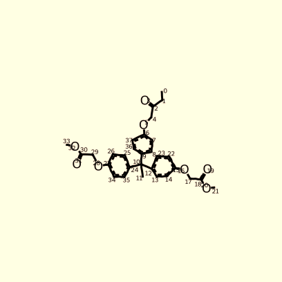 CCC(=O)COc1ccc(C(C)(c2ccc(OCC(=O)OC)cc2)c2ccc(OCC(=O)OC)cc2)cc1